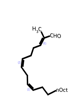 CCCCCCCCCC/C=C\C/C=C\CC/C=C(\C)C=O